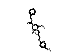 C[C@@H]1CN(C(=O)OCc2ccccc2)C[C@H](C)N1CCCOc1ccc(N)cn1